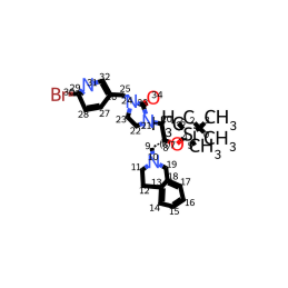 CC(C)(C)[Si](C)(C)O[C@H](CN1CCc2ccccc2C1)CN1CCN(Cc2ccc(Br)nc2)C1=O